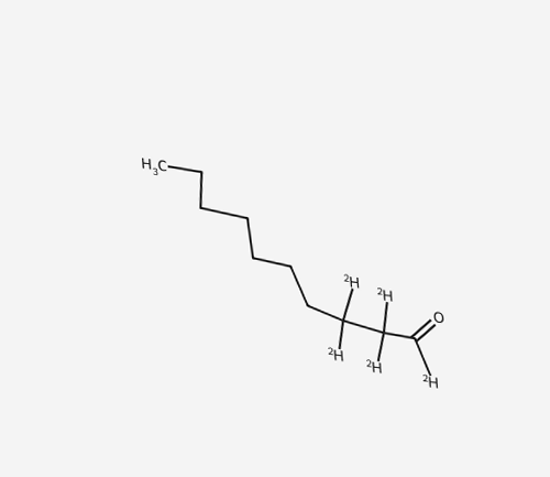 [2H]C(=O)C([2H])([2H])C([2H])([2H])CCCCCCC